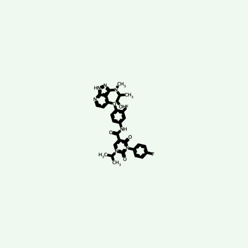 CC(CO)N(C)c1n[nH]c2nccc(Oc3ccc(NC(=O)c4cn(C(C)C)c(=O)n(-c5ccc(F)cc5)c4=O)cc3F)c12